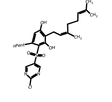 CCCCCc1cc(O)c(CC=C(C)CCC=C(C)C)c(O)c1S(=O)(=O)c1cnc(Cl)nc1